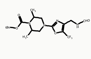 CC1CN(c2nc(CNC=O)c(C(F)(F)F)o2)CC(C)N1C(=O)OC(C)(C)C